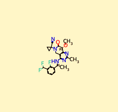 CO[C@H]1C(=O)N(C2(C#N)CC2)Cc2c(N[C@H](C)c3cccc(C(F)F)c3F)nc(C)nc21